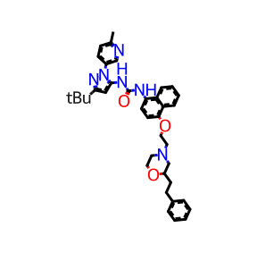 Cc1ccc(-n2nc(C(C)(C)C)cc2NC(=O)Nc2ccc(OCCN3CCOC(CCc4ccccc4)C3)c3ccccc23)cn1